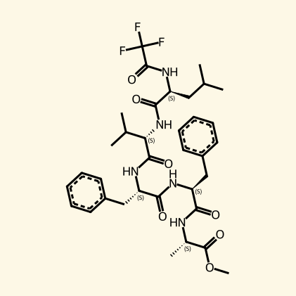 COC(=O)[C@H](C)NC(=O)[C@H](Cc1ccccc1)NC(=O)[C@H](Cc1ccccc1)NC(=O)[C@@H](NC(=O)[C@H](CC(C)C)NC(=O)C(F)(F)F)C(C)C